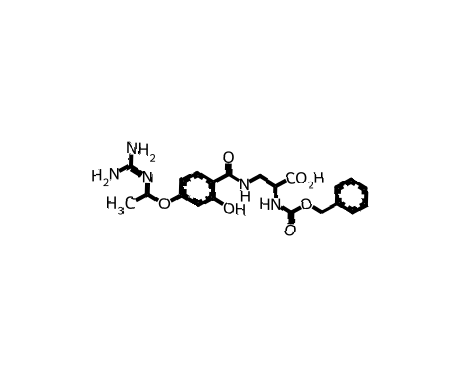 CC(N=C(N)N)Oc1ccc(C(=O)NCC(NC(=O)OCc2ccccc2)C(=O)O)c(O)c1